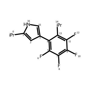 CC(C)c1cc(-c2c(F)c(F)c(F)c(F)c2C(C)C)c[nH]1